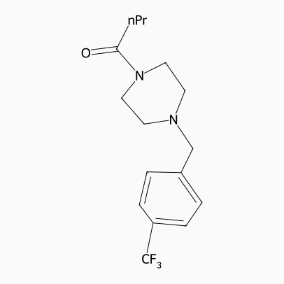 [CH2]CCC(=O)N1CCN(Cc2ccc(C(F)(F)F)cc2)CC1